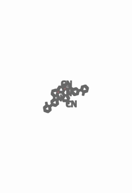 Cc1ccccc1-c1ccc2c(c1)c1ccccc1n2-c1cc(C#N)cc(-n2c3ccccc3c3cc(-c4ccccc4C)ccc32)c1-c1cccc(C#N)c1